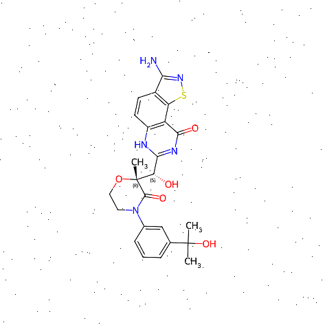 CC(C)(O)c1cccc(N2CCO[C@](C)([C@@H](O)c3nc(=O)c4c(ccc5c(N)nsc54)[nH]3)C2=O)c1